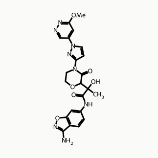 COc1cc(-n2ccc(N3CCOC(C(C)(O)C(=O)Nc4ccc5c(N)noc5c4)C3=O)n2)cnn1